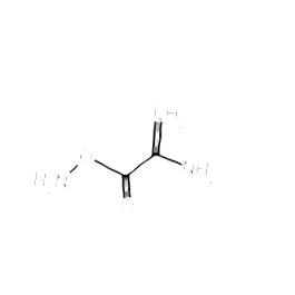 C=C(N)C(=O)ON